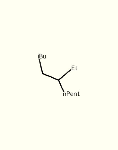 CCCCCC(CC)CC(C)CC